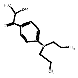 CCCN(CCC)c1ccc(C(=O)C(C)O)cc1